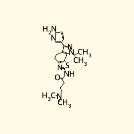 CC(C)n1nc(-c2ccc(N)nc2)c2c1-c1sc(NC(=O)CCCN(C)C)nc1CC2